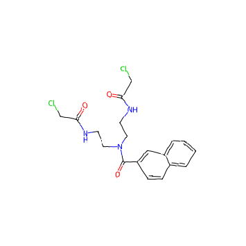 O=C(CCl)NCCN(CCNC(=O)CCl)C(=O)c1ccc2ccccc2c1